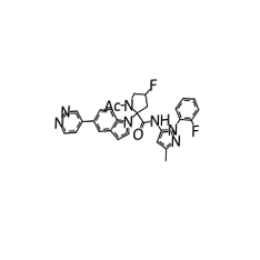 CC(=O)N1CC(F)CC1(C(=O)Nc1cc(C)nn1-c1ccccc1F)n1ccc2cc(-c3ccnnc3)ccc21